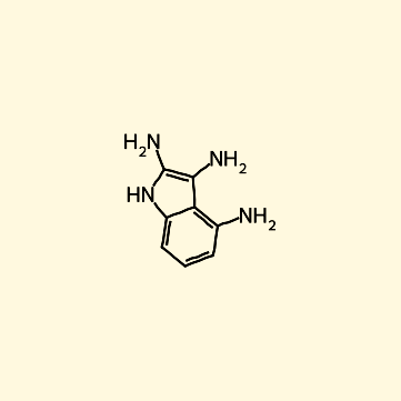 Nc1[nH]c2cccc(N)c2c1N